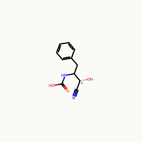 N#C[C@@H](O)C(Cc1ccccc1)NC(=O)O